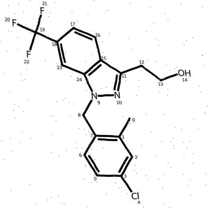 Cc1cc(Cl)ccc1Cn1nc(CCO)c2ccc(C(F)(F)F)cc21